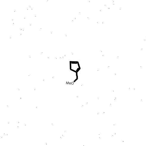 COCC1=CC=CC1